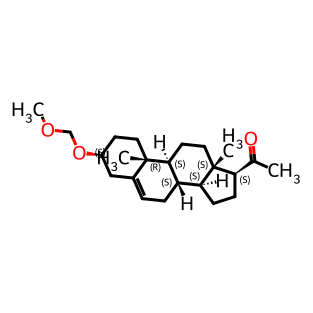 COCO[C@H]1CC[C@@]2(C)C(=CC[C@H]3[C@@H]4CC[C@H](C(C)=O)[C@@]4(C)CC[C@@H]32)C1